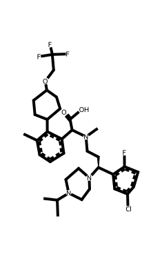 Cc1cccc(C(C(=O)O)N(C)CC[C@@H](c2cc(Cl)ccc2F)N2CCN(C(C)C)CC2)c1C1CCC(OCC(F)(F)F)CC1